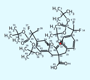 CC(C)(C)OP(=O)(OC(C)(C)C)C(F)(F)c1ccc(CC(Cc2ccc(C(F)(F)P(=O)(OC(C)(C)C)OC(C)(C)C)cc2)(C(=O)O)C(=O)O)cc1